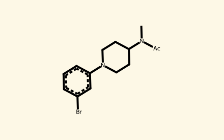 CC(=O)N(C)C1CCN(c2cccc(Br)c2)CC1